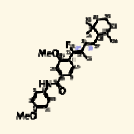 COc1ccc(NC(=O)c2ccc(/C(F)=C(C)/C=C/C3=C(C)CCCC3(C)C)c(OC)c2)cc1